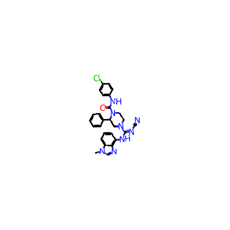 Cn1cnc2c(N/C(=N/C#N)N3CCN(C(=O)Nc4ccc(Cl)cc4)C(c4ccccc4)C3)cccc21